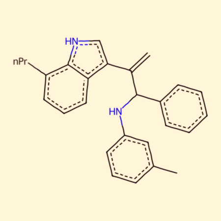 C=C(c1c[nH]c2c(CCC)cccc12)C(Nc1cccc(C)c1)c1ccccc1